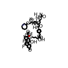 CCC(=O)O[C@]1(C(=O)SCCCCP(=O)(O)OCc2ccc(NC(=O)C(CCCNC(N)=O)NC(=O)C(NC(=O)COC3/C=C\CCCCC3)C(C)C)cc2)[C@H](C)C[C@H]2[C@@H]3C[C@H](F)C4=CC(=O)C=C[C@]4(C)[C@@]3(F)[C@@H](O)C[C@@]21C